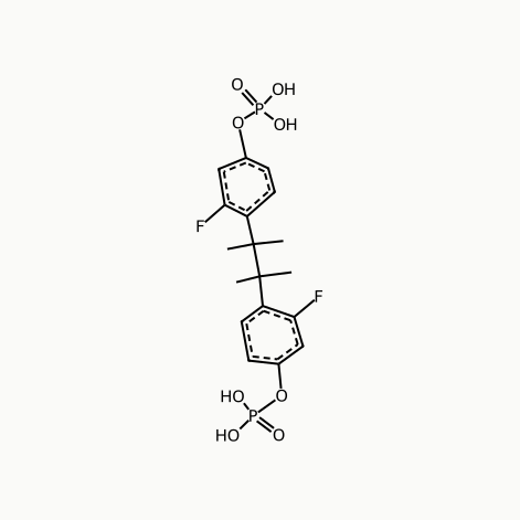 CC(C)(c1ccc(OP(=O)(O)O)cc1F)C(C)(C)c1ccc(OP(=O)(O)O)cc1F